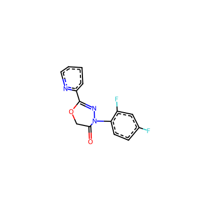 O=C1COC(c2ccccn2)=NN1c1ccc(F)cc1F